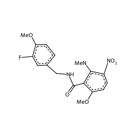 CNc1c([N+](=O)[O-])ccc(OC)c1C(=O)NCc1ccc(OC)c(F)c1